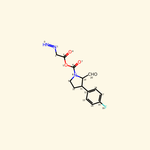 N=NCC(=O)OC(=O)N1CCC(c2ccc(F)cc2)C1C=O